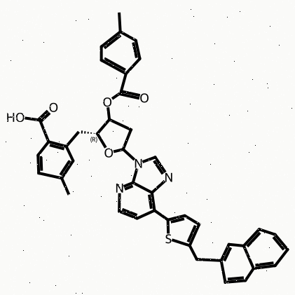 Cc1ccc(C(=O)OC2CC(n3cnc4c(-c5ccc(Cc6ccc7ccccc7c6)s5)ccnc43)O[C@@H]2Cc2cc(C)ccc2C(=O)O)cc1